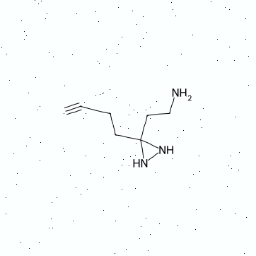 C#CCCC1(CCN)NN1